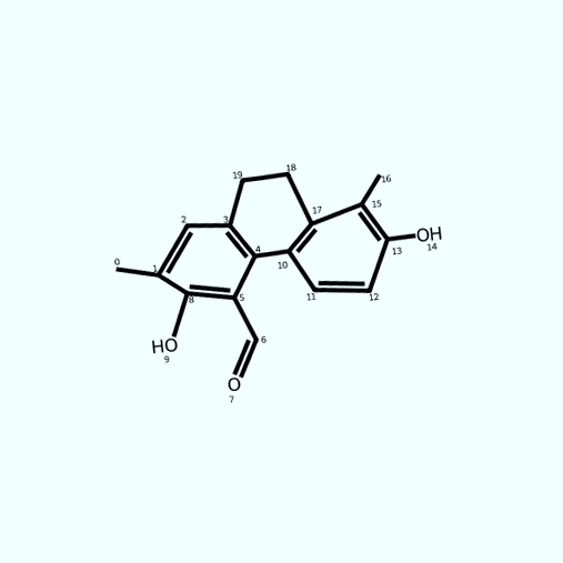 Cc1cc2c(c(C=O)c1O)-c1ccc(O)c(C)c1CC2